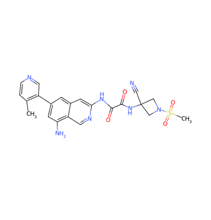 Cc1ccncc1-c1cc(N)c2cnc(NC(=O)C(=O)NC3(C#N)CN(S(C)(=O)=O)C3)cc2c1